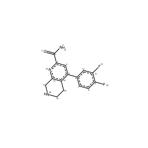 NC(=O)c1cc(-c2ccc(F)c(F)c2)c2c(n1)CNCC2